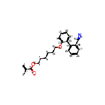 C=C(C)C(=O)OCCCCCCOc1ccccc1-c1ccccc1C#N